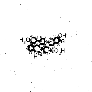 CN1CCC(C2CCN(C(=O)C(Cc3ccc(O)c(Cl)c3)[C@H]3CC(N4CCc5ccccc5NC4=O)CCN3C(=O)O)CC2)CC1